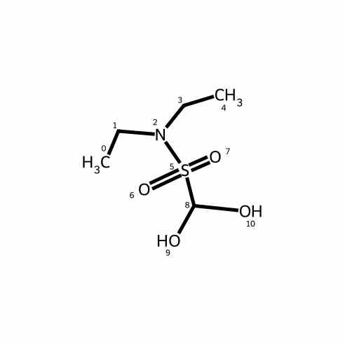 CCN(CC)S(=O)(=O)C(O)O